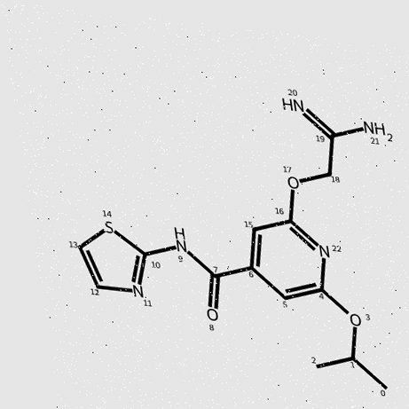 CC(C)Oc1cc(C(=O)Nc2nccs2)cc(OCC(=N)N)n1